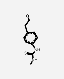 CNC(=S)Nc1ccc(CC[O])cc1